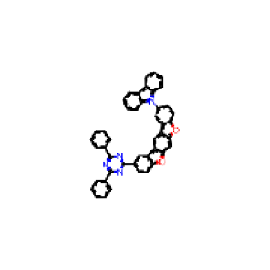 c1ccc(-c2nc(-c3ccccc3)nc(-c3ccc4oc5cc6oc7ccc(-n8c9ccccc9c9ccccc98)cc7c6cc5c4c3)n2)cc1